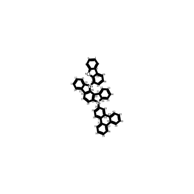 c1ccc2c(c1)oc1c(-n3c4ccccc4c4ccc5c(c6ccccc6n5-c5ccc6c7ccccc7c7ccccc7c6c5)c43)cccc12